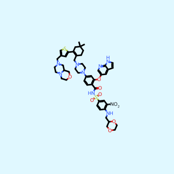 CC1(C)CCC(CN2CCN(c3ccc(C(=O)NS(=O)(=O)c4ccc(NCC5COCCO5)c([N+](=O)[O-])c4)c(Oc4cnc5[nH]ccc5c4)c3)CC2)=C(c2cc(CN3CCN4CCOCC4C3)cs2)C1